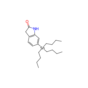 CCC[CH2][Sn]([CH2]CCC)([CH2]CCC)[c]1ccc2c(c1)NC(=O)C2